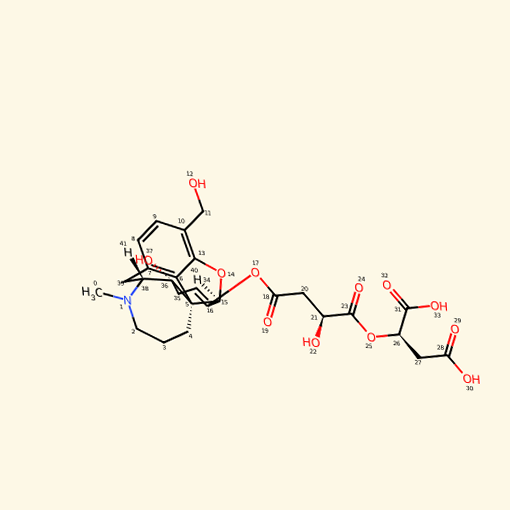 CN1CCC[C@]23c4c5ccc(CO)c4O[C@H]2C(OC(=O)C[C@H](O)C(=O)O[C@H](CC(=O)O)C(=O)O)=CC[C@@]3(O)[C@H]1C5